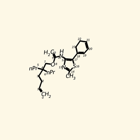 C=CCCC(CCC)(CCC)COC(=C)Nc1nc(C)sc1C1=CC=CCC1